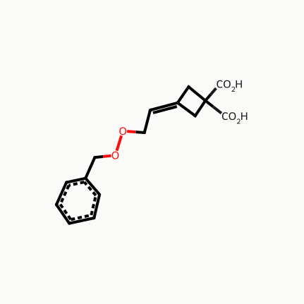 O=C(O)C1(C(=O)O)CC(=CCOOCc2ccccc2)C1